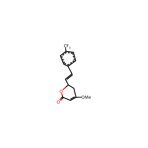 COC1=CC(=O)OC(C=Cc2ccc(C(F)(F)F)cc2)C1